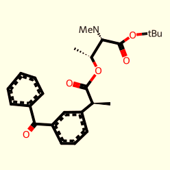 CN[C@H](C(=O)OC(C)(C)C)[C@@H](C)OC(=O)[C@@H](C)c1cccc(C(=O)c2ccccc2)c1